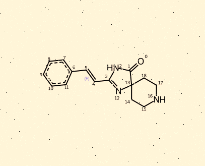 O=C1NC(/C=C/c2ccccc2)=NC12CCNCC2